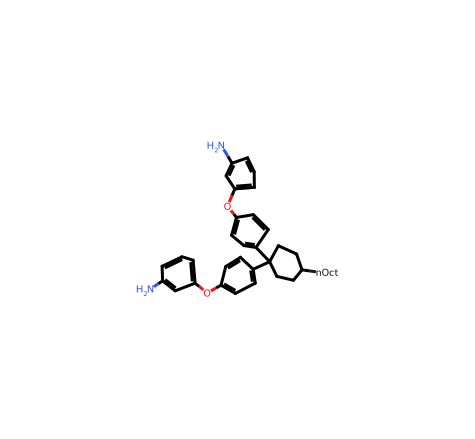 CCCCCCCCC1CCC(c2ccc(Oc3cccc(N)c3)cc2)(c2ccc(Oc3cccc(N)c3)cc2)CC1